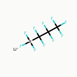 F[B-](F)(F)C(F)(F)C(F)(F)C(F)(F)F.[Li+]